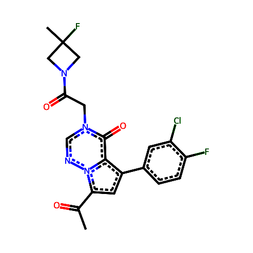 CC(=O)c1cc(-c2ccc(F)c(Cl)c2)c2c(=O)n(CC(=O)N3CC(C)(F)C3)cnn12